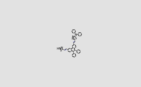 C(=C\c1n[nH]s1)/c1ccc2c(-c3ccccc3)c(-c3ccccc3)c3ccc(/C=C/c4nnc(N(c5ccccc5)c5ccccc5)s4)cc3c2c1